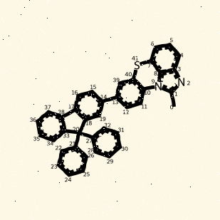 Cc1nc2cccc3c2n1-c1ccc(-c2ccc4c(c2)C(c2ccccc2)(c2ccccc2)c2ccccc2-4)cc1S3